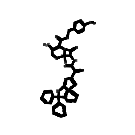 COc1ccc(COC(=O)C2=C(C)CS[C@H]3C(NC(=O)C(=O)c4csc(NC(c5ccccc5)(c5ccccc5)c5ccccc5)n4)C(=O)N23)cc1